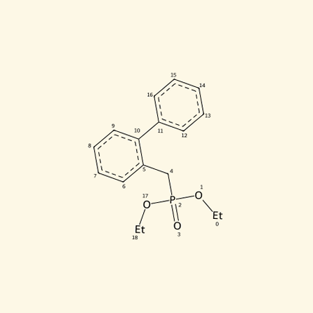 CCOP(=O)(Cc1ccccc1-c1ccccc1)OCC